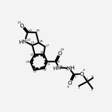 CC(C)(C)OC(=O)NNC(=O)c1cccc2c1CC1CC(=O)NC21